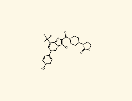 O=C(c1nc2c(C(F)(F)F)cc(-c3ccc(O)cc3)cn2c1Cl)N1CCC(N2CCOC2=O)CC1